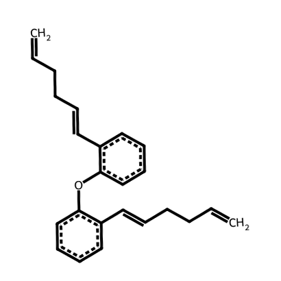 C=CCCC=Cc1ccccc1Oc1ccccc1C=CCCC=C